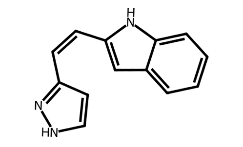 C(=C/c1cc2ccccc2[nH]1)/c1cc[nH]n1